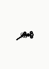 CCCCCCCNC(=O)Nc1ccccc1C(=O)N1CCN(C2c3ccccc3CCc3ccccc32)CC1